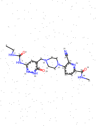 CCNC(=O)Nc1cc(CN2CCN(c3ccc(C(=O)NC)nc3C#N)CC2)c(=O)[nH]n1